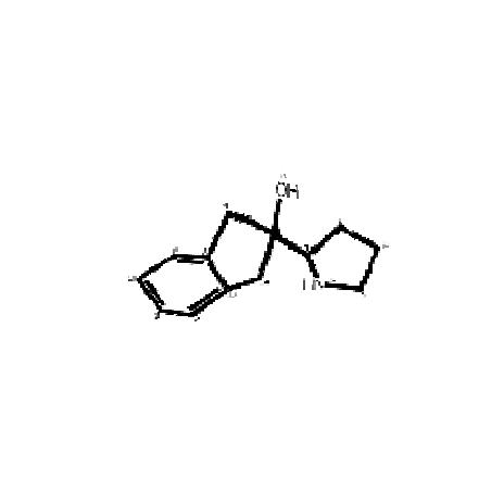 OC1(C2CCCN2)Cc2ccccc2C1